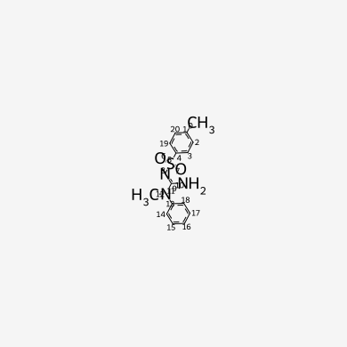 Cc1ccc(S(=O)(=O)/N=C(\N)N(C)c2ccccc2)cc1